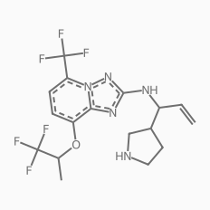 C=CC(Nc1nc2c(OC(C)C(F)(F)F)ccc(C(F)(F)F)n2n1)C1CCNC1